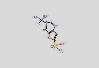 CCC(N)(CC)c1cnc2cc(S(N)(=O)=O)oc2c1